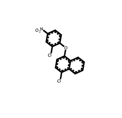 O=[N+]([O-])c1ccc(Oc2ccc(Cl)c3ccccc23)c(Cl)c1